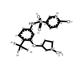 CN1CCC(Oc2cc(NS(=O)(=O)c3ccc(Cl)nc3)ccc2C(F)(F)F)C1